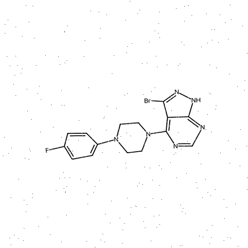 Fc1ccc(N2CCN(c3ncnc4[nH]nc(Br)c34)CC2)cc1